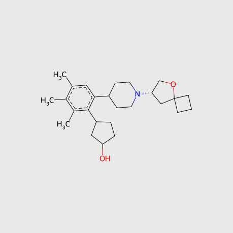 Cc1cc(C2CCN([C@@H]3COC4(CCC4)C3)CC2)c(C2CCC(O)C2)c(C)c1C